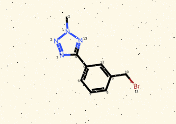 Cn1nnc(-c2cccc(CBr)c2)n1